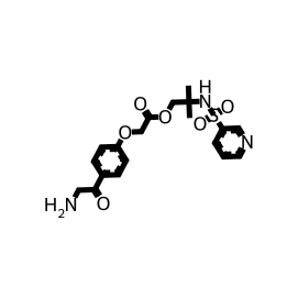 CC(C)(COC(=O)COc1ccc(C(=O)CN)cc1)NS(=O)(=O)c1cccnc1